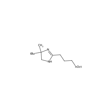 CCCCCCCCCCCC1=NC(C)(C(C)(C)C)CN1